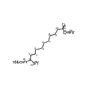 CCCCCCCCCC(CCCCCCCCCC(=O)OC(C)C)C(C)C